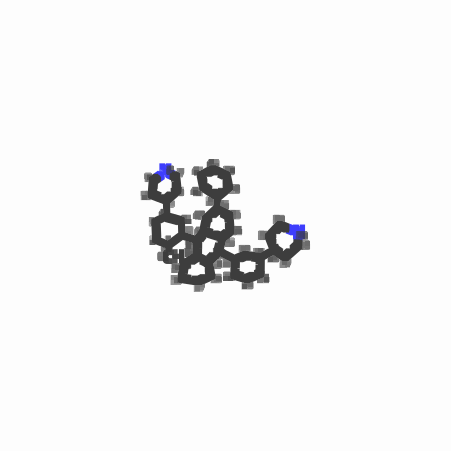 C[C@H]1C=CC(c2ccncc2)=CC1c1c2ccccc2c(-c2cccc(-c3ccncc3)c2)c2ccc(-c3ccccc3)cc12